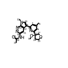 CO[C@]1(c2cc(C)cc(-c3cn(C)c4nnc(NC(C)=O)cc34)n2)CCOC1